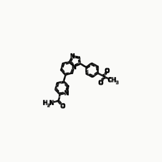 CS(=O)(=O)c1ccc(-c2cnc3ccc(-c4ccc(C(N)=O)nc4)cn23)cc1